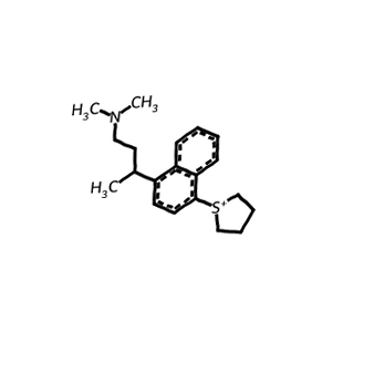 CC(CCN(C)C)c1ccc([S+]2CCCC2)c2ccccc12